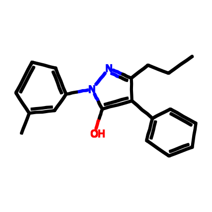 CCCc1nn(-c2cccc(C)c2)c(O)c1-c1ccccc1